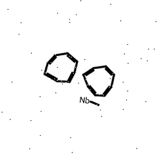 C1=C\C=C/C=C\C=C/1.C1=C\C=C/C=C\C=C/1.[CH3][Nb]